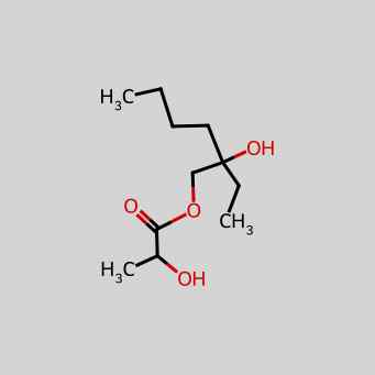 CCCCC(O)(CC)COC(=O)C(C)O